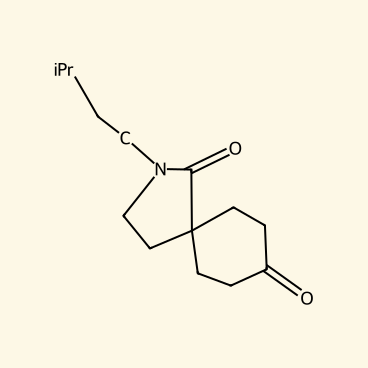 CC(C)CCN1CCC2(CCC(=O)CC2)C1=O